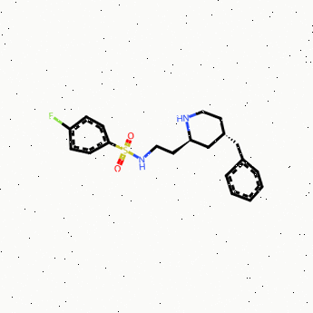 O=S(=O)(NCC[C@@H]1C[C@@H](Cc2ccccc2)CCN1)c1ccc(F)cc1